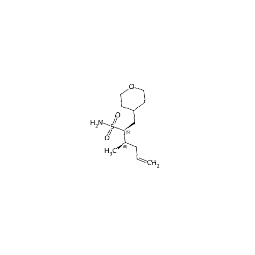 C=CC[C@@H](C)[C@H](CC1CCOCC1)S(N)(=O)=O